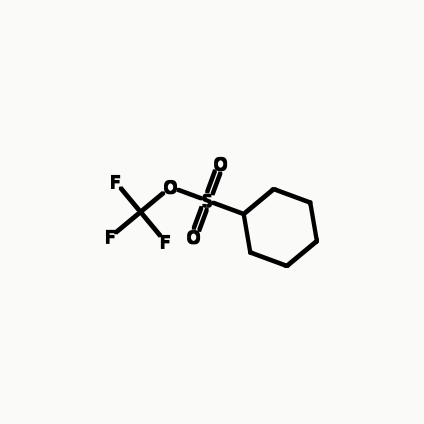 O=S(=O)(OC(F)(F)F)C1CCCCC1